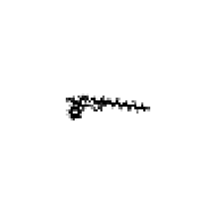 CCCCCCCCCCCC[C@H](O)CN1CCC(C#N)(c2ccccc2)CC1